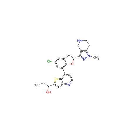 CCC(O)c1cc2nccc(-c3cc(Cl)cc4c3O[C@@H](c3nn(C)c5c3CNCC5)C4)c2s1